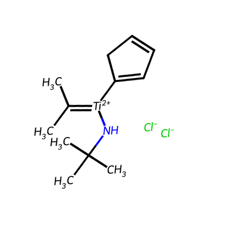 C[C](C)=[Ti+2]([NH]C(C)(C)C)[C]1=CC=CC1.[Cl-].[Cl-]